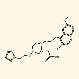 COc1ccc2ncc(F)c(CCC[C@@H]3CCN(CCSc4nccs4)C[C@H]3CC(=O)O)c2c1